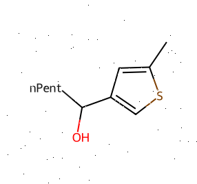 CCCCCC(O)c1csc(C)c1